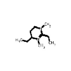 CCC1=[N+](C)C(CC)CCN1C